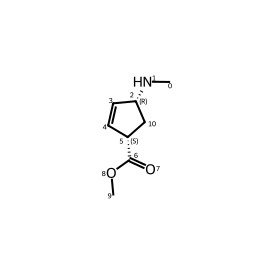 CN[C@H]1C=C[C@@H](C(=O)OC)C1